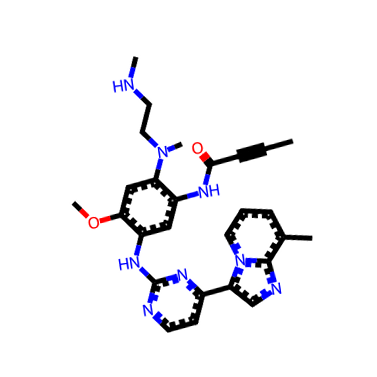 CC#CC(=O)Nc1cc(Nc2nccc(-c3cnc4c(C)cccn34)n2)c(OC)cc1N(C)CCNC